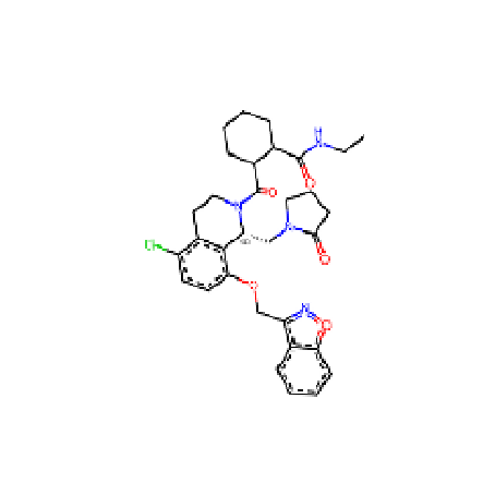 CCNC(=O)C1CCCCC1C(=O)N1CCc2c(Cl)ccc(OCc3noc4ccccc34)c2[C@H]1CN1CCCC1=O